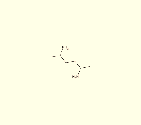 CC(N)CCC(C)N